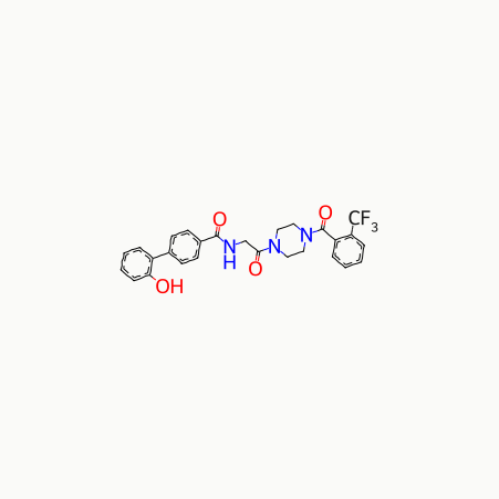 O=C(NCC(=O)N1CCN(C(=O)c2ccccc2C(F)(F)F)CC1)c1ccc(-c2ccccc2O)cc1